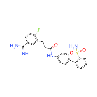 N=C(N)c1ccc(F)c(CCC(=O)Nc2ccc(-c3ccccc3S(N)(=O)=O)cc2)c1